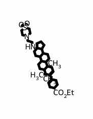 CCOC(=O)[C@H]1CC=C(C2=CC[C@]3(C)C4CCC5C(CC[C@@]6(NCCN7CCS(=O)(=O)CC7)CCCC56)C4CCC3C2(C)C)CC1